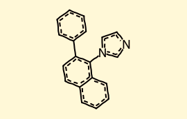 c1ccc(-c2ccc3ccccc3c2-n2ccnc2)cc1